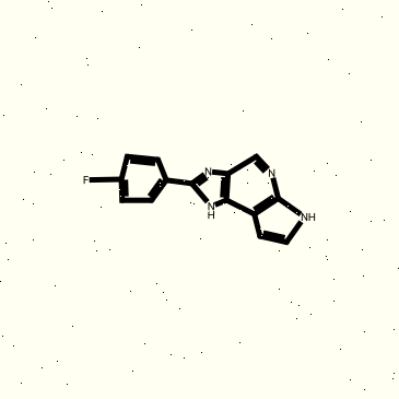 Fc1ccc(-c2nc3cnc4[nH]ccc4c3[nH]2)cc1